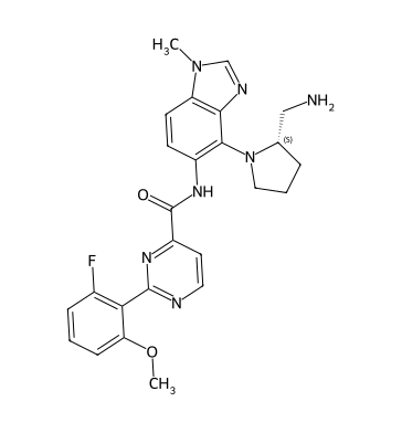 COc1cccc(F)c1-c1nccc(C(=O)Nc2ccc3c(ncn3C)c2N2CCC[C@H]2CN)n1